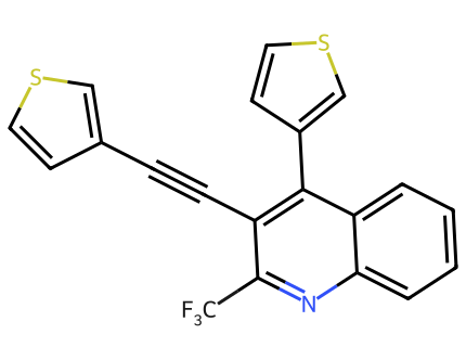 FC(F)(F)c1nc2ccccc2c(-c2ccsc2)c1C#Cc1ccsc1